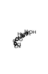 N#Cc1ccc(OC2CCC(NC(=O)c3ccc(N4C[C@@H]5[C@@H](CO)[C@@H]5C4)nn3)CC2)cc1Cl